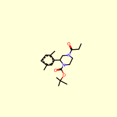 CCC(=O)N1CCN(C(=O)OC(C)(C)C)C(c2cc(C)ccc2C)C1